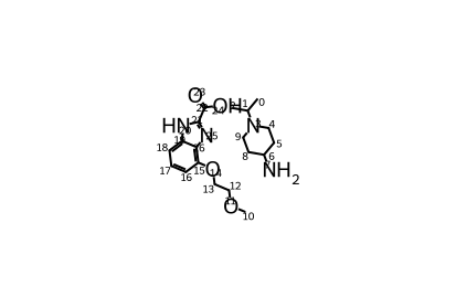 CC(C)N1CCC(N)CC1.COCCOc1cccc2[nH]c(C(=O)O)nc12